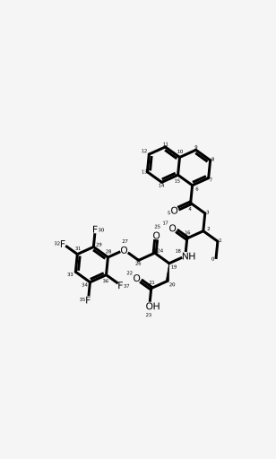 CCC(CC(=O)c1cccc2ccccc12)C(=O)N[C@@H](CC(=O)O)C(=O)COc1c(F)c(F)cc(F)c1F